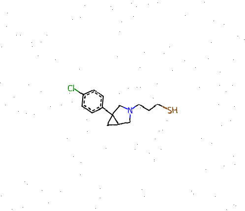 SCCCN1CC2CC2(c2ccc(Cl)cc2)C1